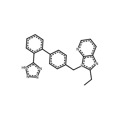 CCc1nc2cccnc2n1Cc1ccc(-c2ccccc2-c2nnn[nH]2)cc1